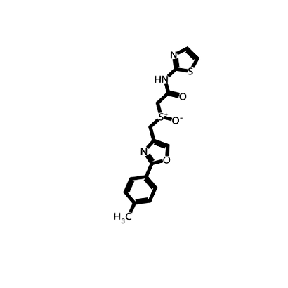 Cc1ccc(-c2nc(C[S+]([O-])CC(=O)Nc3nccs3)co2)cc1